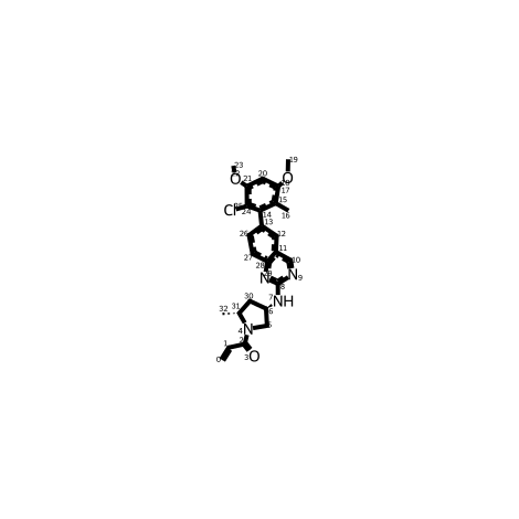 C=CC(=O)N1C[C@@H](Nc2ncc3cc(-c4c(C)c(OC)cc(OC)c4Cl)ccc3n2)C[C@H]1C